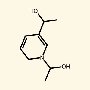 CC(O)C1=CN(C(C)O)CC=C1